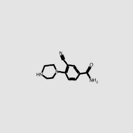 N#Cc1cc(C(N)=O)ccc1N1CCNCC1